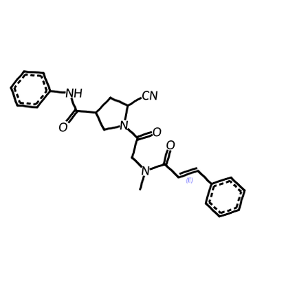 CN(CC(=O)N1CC(C(=O)Nc2ccccc2)CC1C#N)C(=O)/C=C/c1ccccc1